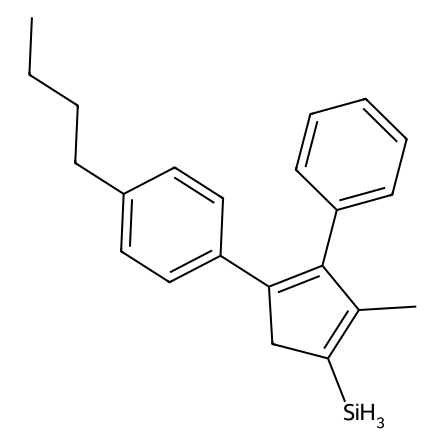 CCCCc1ccc(C2=C(c3ccccc3)C(C)=C([SiH3])C2)cc1